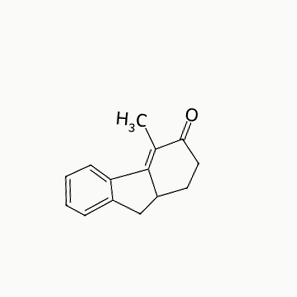 CC1=C2c3ccccc3CC2CCC1=O